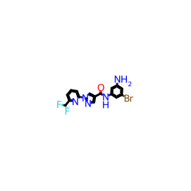 Nc1cc(Br)cc(NC(=O)c2cnn(-c3cccc(C(F)F)n3)c2)c1